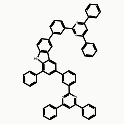 c1ccc(-c2cc(-c3ccccc3)nc(-c3cccc(-c4ccc5[nH]c6c(-c7ccccc7)cc(-c7cccc(-c8nc(-c9ccccc9)cc(-c9ccccc9)n8)c7)cc6c5c4)c3)n2)cc1